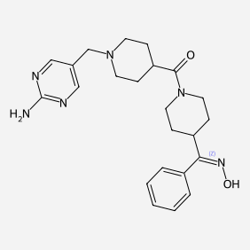 Nc1ncc(CN2CCC(C(=O)N3CCC(/C(=N/O)c4ccccc4)CC3)CC2)cn1